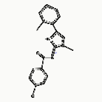 Cc1ccccc1-c1cn(C)/c(=N/C(=O)c2ccc(Cl)cc2)[nH]1